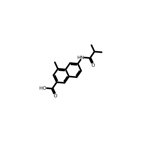 Cc1cc(C(=O)O)cc2ccc(NC(=O)C(C)C)cc12